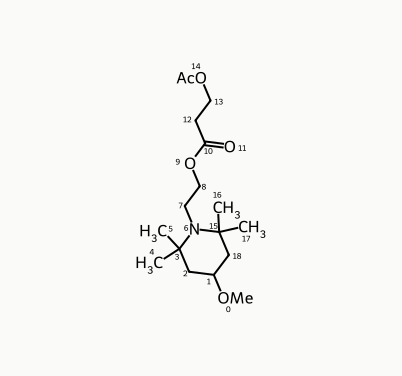 COC1CC(C)(C)N(CCOC(=O)CCOC(C)=O)C(C)(C)C1